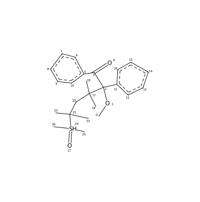 COC(C(=O)c1ccccc1)(c1ccccc1)C(C)(C)CC(C)(C)[SH](C)(C)=O